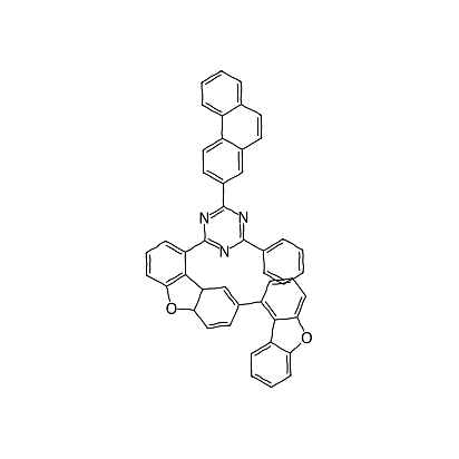 C1=CC2Oc3cccc(-c4nc(-c5ccccc5)nc(-c5ccc6c(ccc7ccccc76)c5)n4)c3C2C=C1c1cccc2oc3ccccc3c12